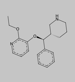 CCOc1ncccc1O[C@H](c1ccccc1)[C@H]1CCCNC1